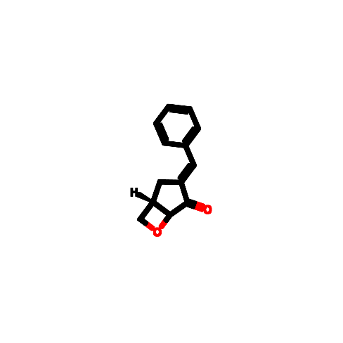 O=C1/C(=C/c2ccccc2)C[C@H]2COC12